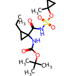 CCC1CC1(NC(=O)OC(C)(C)C)C(=O)NS(=O)(=O)OC1(C)CC1